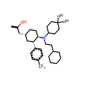 C=C(O)C[C@@H]1CC[C@@H](N(CCC2CCCCC2)C2CCC(CCC)(CCC)CC2)[C@H](c2ccc(C(F)(F)F)cc2)C1